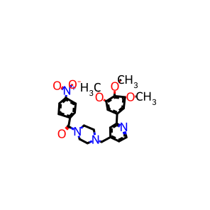 COc1cc(-c2cc(CN3CCN(C(=O)c4ccc([N+](=O)[O-])cc4)CC3)ccn2)cc(OC)c1OC